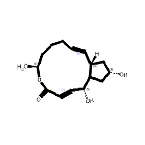 C[C@H]1CCC/C=C/[C@@H]2C[C@H](O)CC2[C@H](O)/C=C/C(=O)O1